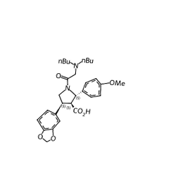 CCCCN(CCCC)CC(=O)N1C[C@H](c2ccc3c(c2)OCO3)[C@H](C(=O)O)[C@H]1c1ccc(OC)cc1